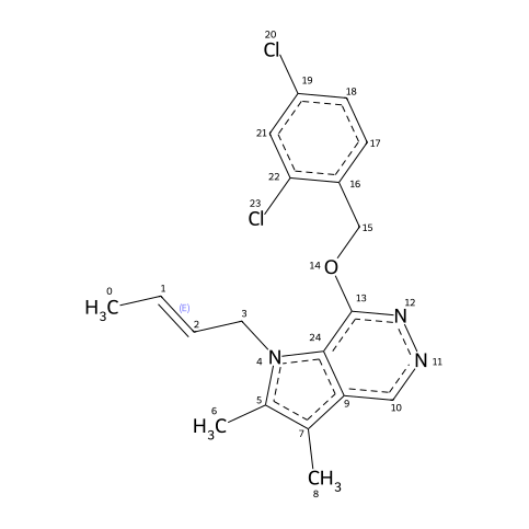 C/C=C/Cn1c(C)c(C)c2cnnc(OCc3ccc(Cl)cc3Cl)c21